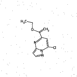 C=C(OCC)c1cc(Cl)n2nccc2n1